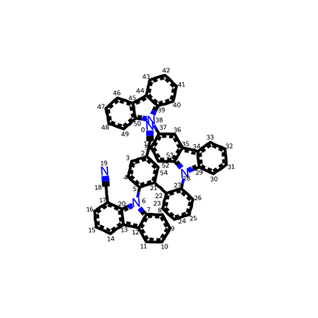 N#Cc1ccc(-n2c3ccccc3c3cccc(C#N)c32)c(-c2ccccc2-n2c3ccccc3c3cc(-n4c5ccccc5c5ccccc54)ccc32)c1